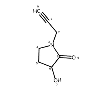 C#CCN1CCC(O)C1=O